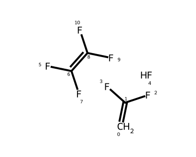 C=C(F)F.F.FC(F)=C(F)F